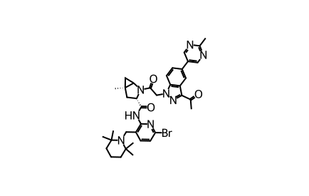 CC(=O)c1nn(CC(=O)N2C3C[C@]3(C)C[C@H]2C(=O)Nc2nc(Br)ccc2CN2C(C)(C)CCCC2(C)C)c2ccc(-c3cnc(C)nc3)cc12